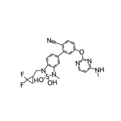 CNc1ccnc(Oc2ccc(C#N)c(-c3ccc4c(c3)N(C)S(O)(O)N4CC3CC3(F)F)c2)n1